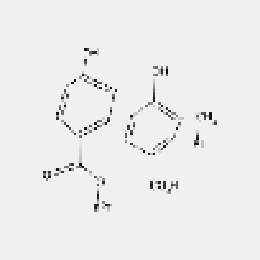 CCC.CCCOC(=O)c1ccc(O)cc1.O=C(O)c1ccc(O)cc1